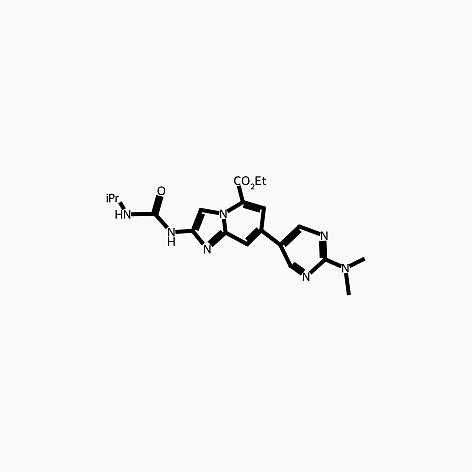 CCOC(=O)c1cc(-c2cnc(N(C)C)nc2)cc2nc(NC(=O)NC(C)C)cn12